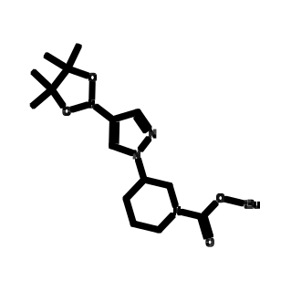 CC(C)(C)OC(=O)N1CCCC(n2cc(B3OC(C)(C)C(C)(C)O3)cn2)C1